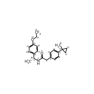 C[C@@H](NC(=O)Cc1ccc(C2(C)CC2)cc1)c1ccc(OCC(F)(F)F)cn1